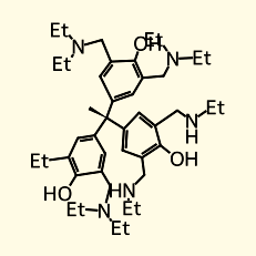 CCNCc1cc([C@](C)(c2cc(CC)c(O)c(CN(CC)CC)c2)c2cc(CN(CC)CC)c(O)c(CN(CC)CC)c2)cc(CNCC)c1O